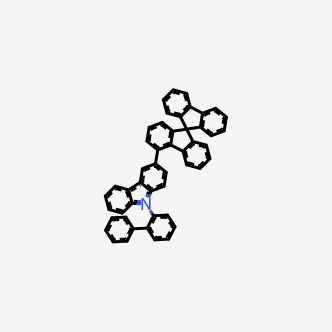 c1ccc(-c2ccccc2-n2c3ccccc3c3cc(-c4cccc5c4-c4ccccc4C54c5ccccc5-c5ccccc54)ccc32)cc1